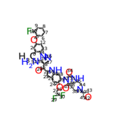 Cc1cc(Oc2ccccc2F)ccc1-n1ncc(C(=O)c2cc3cc(OCC(F)F)c(N4C(=O)NC5(CCN(C6COC6)CC5)C4=O)cc3[nH]2)c1N